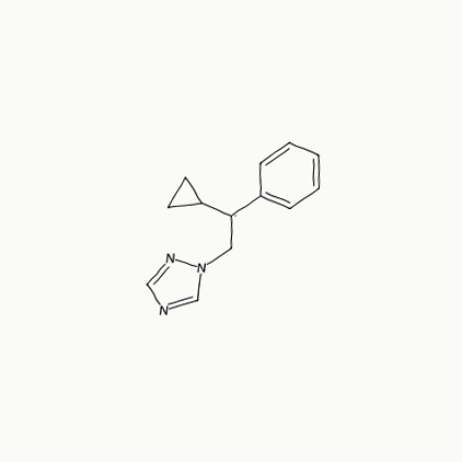 c1ccc([C](Cn2cncn2)C2CC2)cc1